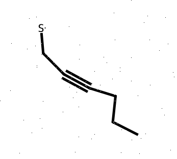 CCCC#CC[S]